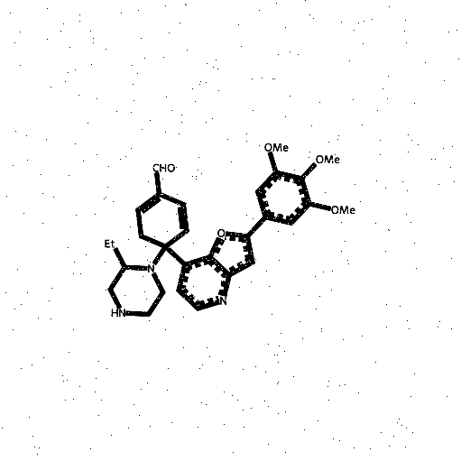 CCC1CNCCN1C1(c2ccnc3cc(-c4cc(OC)c(OC)c(OC)c4)oc23)C=CC(C=O)=CC1